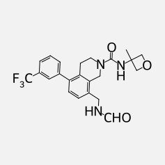 CC1(NC(=O)N2CCc3c(-c4cccc(C(F)(F)F)c4)ccc(CNC=O)c3C2)COC1